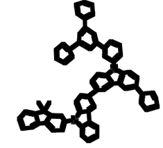 CC1(C)c2ccccc2-c2ccc(-n3c4ccccc4c4cc(-c5ccc6c(c5)c5cc(-c7ccccc7)ccc5n6-c5cccc(-c6cc(-c7ccccc7)cc(-c7ccccc7)c6)c5)ccc43)cc21